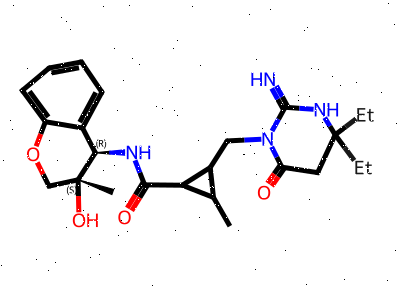 CCC1(CC)CC(=O)N(CC2C(C)C2C(=O)N[C@@H]2c3ccccc3OC[C@@]2(C)O)C(=N)N1